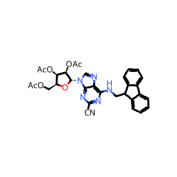 CC(=O)OC[C@@H]1O[C@@H](n2cnc3c(NCC4c5ccccc5-c5ccccc54)nc(C#N)nc32)[C@H](OC(C)=O)[C@@H]1OC(C)=O